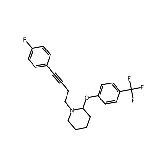 Fc1ccc(C#CCCN2CCCCC2Oc2ccc(C(F)(F)F)cc2)cc1